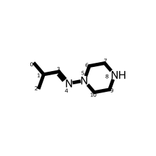 CC(C)/C=N/N1CCNCC1